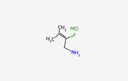 CC(C)=C(F)CN.Cl